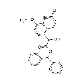 COc1ccc(C(O)C(=O)OC(c2ccccc2)c2ccccc2)c2ccc(=O)[nH]c12